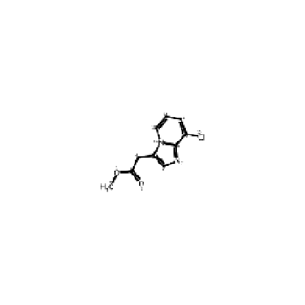 COC(=O)Cc1cnc2c(Cl)cccn12